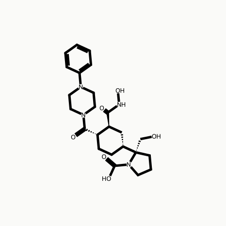 O=C(NO)[C@H]1C[C@H]([C@@]2(CO)CCCN2C(=O)O)CC[C@@H]1C(=O)N1CCN(c2ccccc2)CC1